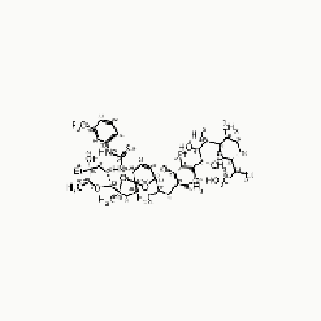 CCC(C(=O)[C@@H](C)[C@@H](O)[C@H](C)[C@@H]1O[C@@H]([C@@H](CC)C(=O)O)CC[C@@H]1C)[C@H]1O[C@]2(C=C[C@@H](NC(=S)Nc3cccc(C(F)(F)F)c3)[C@]3(CC[C@@](C)([C@H]4CC[C@](O)(CC)[C@H](C)O4)O3)O2)[C@H](C)C[C@@H]1C